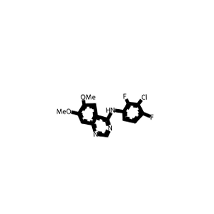 COc1cc2ncnc(Nc3ccc(F)c(Cl)c3F)c2cc1OC